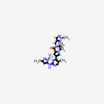 Cc1cc(Nc2ncc(C)c(-c3cc4n(c3)CC(C)(C)N(Cc3cnn(C)n3)C4=O)n2)n(C)n1